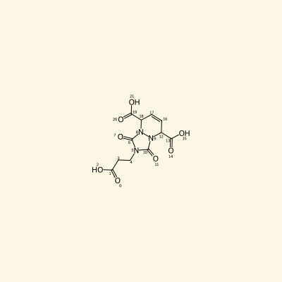 O=C(O)CCn1c(=O)n2n(c1=O)C(C(=O)O)C=CC2C(=O)O